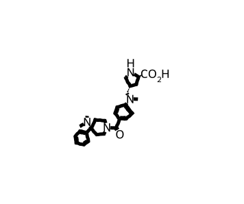 CN(C[C@@H]1CN[C@H](C(=O)O)C1)c1ccc(C(=O)N2CCC(c3ccccc3)(N(C)C)CC2)cc1